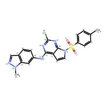 Cc1ccc(S(=O)(=O)n2ccc3c(Nc4ccc5cnn(C)c5c4)nc(Cl)nc32)cc1